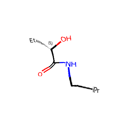 CC[C@H](O)C(=O)NCC(C)C